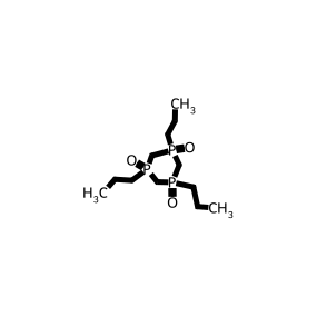 CCCP1(=O)CP(=O)(CCC)CP(=O)(CCC)C1